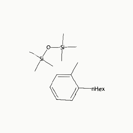 CCCCCCc1ccccc1C.C[Si](C)(C)O[Si](C)(C)C